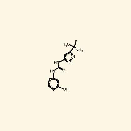 CC(C)(F)c1cc(NC(=O)Nc2cccc(O)c2)on1